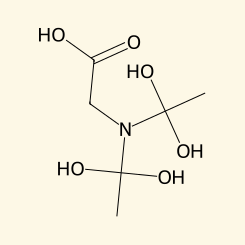 CC(O)(O)N(CC(=O)O)C(C)(O)O